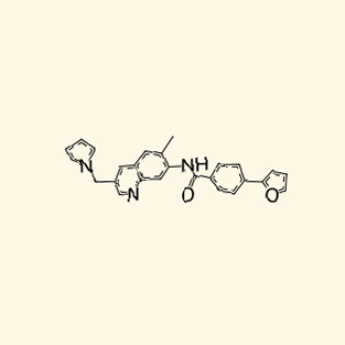 Cc1cc2cc(Cn3cccc3)cnc2cc1NC(=O)c1ccc(-c2ccco2)cc1